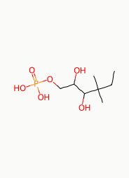 CCC(C)(C)C(O)C(O)COP(=O)(O)O